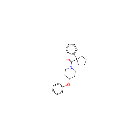 O=C(N1CCC(Oc2ccccc2)CC1)C1(c2ccccc2)CCCC1